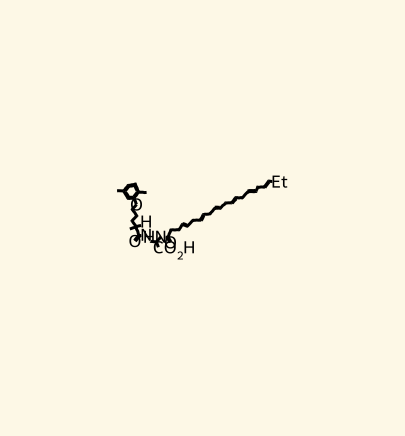 CCC=CCC=CCC=CCC=CCC=CCC=CCCC(=O)NC(CNC(=O)C(C)(C)CCCOc1cc(C)ccc1C)C(=O)O